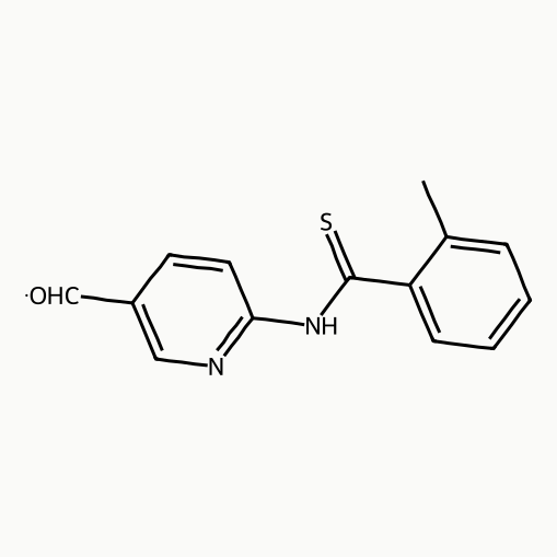 Cc1ccccc1C(=S)Nc1ccc([C]=O)cn1